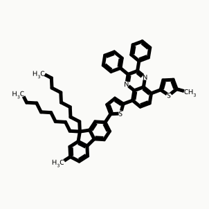 CCCCCCCCC1(CCCCCCCC)c2cc(C)ccc2-c2ccc(-c3ccc(-c4ccc(-c5ccc(C)s5)c5nc(-c6ccccc6)c(-c6ccccc6)nc45)s3)cc21